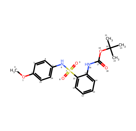 COc1ccc(NS(=O)(=O)c2ccccc2NC(=O)OC(C)(C)C)cc1